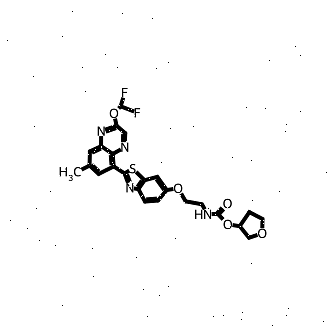 Cc1cc(-c2nc3ccc(OCCNC(=O)OC4CCOC4)cc3s2)c2ncc(OC(F)F)nc2c1